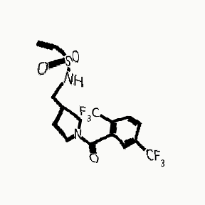 C=CS(=O)(=O)NCC1CCN(C(=O)c2cc(C(F)(F)F)ccc2C(F)(F)F)C1